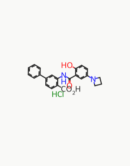 Cl.O=C(Nc1cc(-c2ccccc2)ccc1C(=O)O)c1cc(N2CCC2)ccc1O